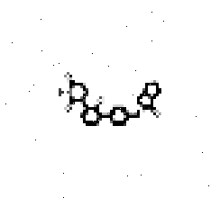 O=C1CCC(c2cccc(-c3ccc(CN4CC5CCCC5C4=O)cc3)c2Cl)C(=O)N1